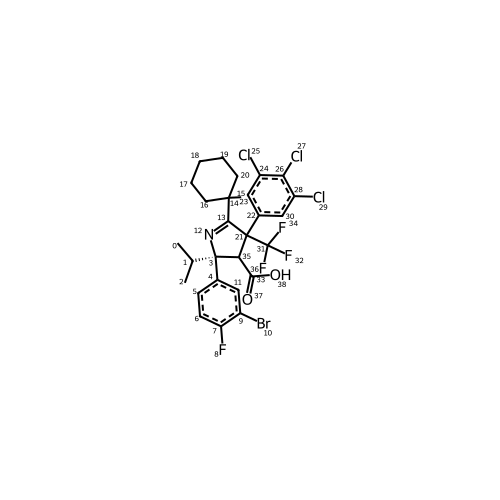 CC(C)[C@]1(c2ccc(F)c(Br)c2)N=C(C2(C)CCCCC2)C(c2cc(Cl)c(Cl)c(Cl)c2)(C(F)(F)F)C1C(=O)O